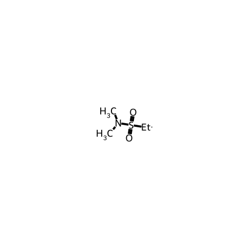 C[CH]S(=O)(=O)N(C)C